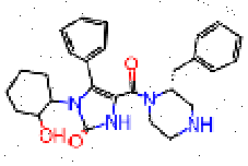 O=C(c1[nH]c(=O)n(C2CCCCC2O)c1-c1ccccc1)N1CCNC[C@H]1Cc1ccccc1